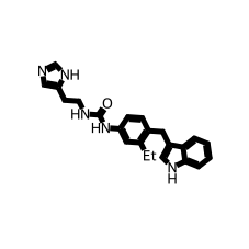 CCc1cc(NC(=O)NCCc2cnc[nH]2)ccc1Cc1c[nH]c2ccccc12